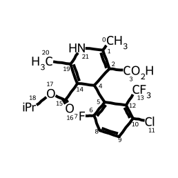 CC1=C(C(=O)O)C(c2c(F)ccc(Cl)c2C(F)(F)F)C(C(=O)OC(C)C)=C(C)N1